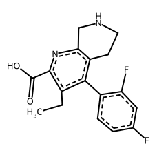 CCc1c(C(=O)O)nc2c(c1-c1ccc(F)cc1F)CCNC2